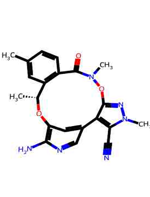 Cc1ccc2c(c1)[C@@H](C)Oc1cc(cnc1N)-c1c(nn(C)c1C#N)ON(C)C2=O